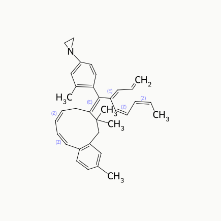 C=C/C=C(\C=C/C=C\C)C(=C1/C/C=C\C=C/c2ccc(C)cc2CC1(C)C)/c1ccc(N2CC2)cc1C